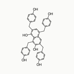 Oc1ccc(Cc2cc3c(Cc4ccc(O)cc4)cc(Cc4ccc(O)cc4)c(O)c3c(Cc3ccc(O)cc3)c2O)cc1